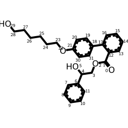 O=C(OCC(O)c1ccccc1)c1ccccc1-c1ccc(OCCCCCCO)cc1